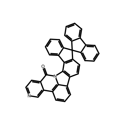 O=c1c2ccncc2c2cccc3c4ccc5c(c4n1c23)-c1ccccc1C51c2ccccc2-c2ccccc21